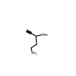 C#CC(CCN)SC